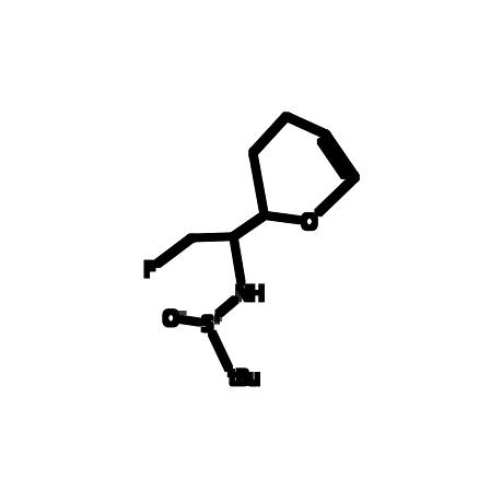 CC(C)(C)[S+]([O-])NC(CF)C1CCC=CO1